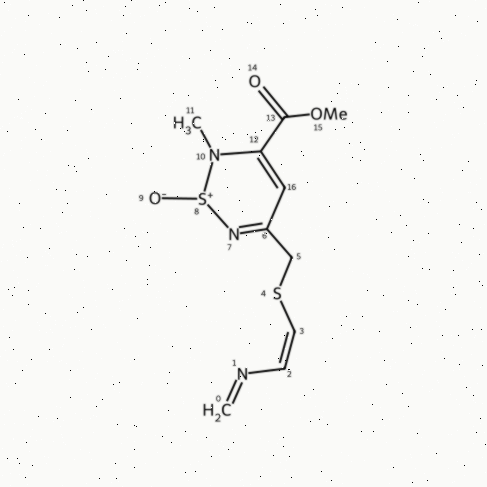 C=N/C=C\SCC1=N[S+]([O-])N(C)C(C(=O)OC)=C1